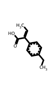 CC=C(C(=O)O)c1ccc(CC)cc1